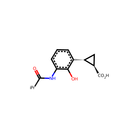 CC(C)C(=O)Nc1cccc([C@@H]2C[C@H]2C(=O)O)c1O